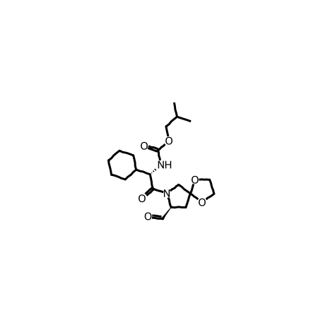 CC(C)COC(=O)N[C@H](C(=O)N1CC2(C[C@H]1C=O)OCCO2)C1CCCCC1